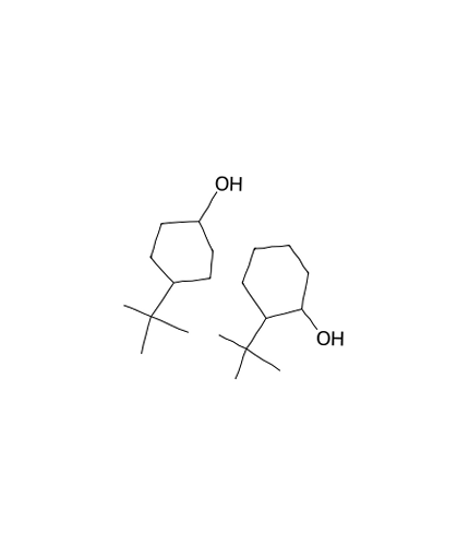 CC(C)(C)C1CCC(O)CC1.CC(C)(C)C1CCCCC1O